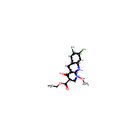 CCOC(=O)c1cn(OC)c2nc3cc(F)c(F)cc3cc2c1=O